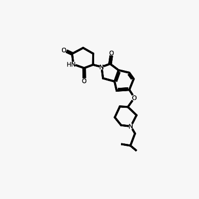 CC(C)CN1CCCC(Oc2ccc3c(c2)CN(C2CCC(=O)NC2=O)C3=O)C1